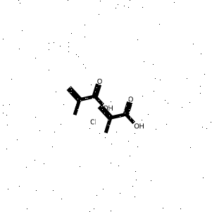 C=C(C)C(=O)O.C=C(C)C(=O)O.[C]